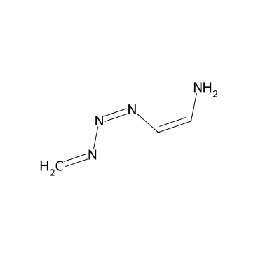 C=N/N=N\C=C/N